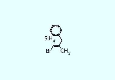 CC(=CBr)Cc1ccccc1.[SiH4]